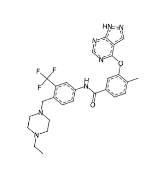 CCN1CCN(Cc2ccc(NC(=O)c3ccc(C)c(Oc4ncnc5[nH]ncc45)c3)cc2C(F)(F)F)CC1